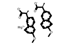 COc1ccc2cc([C@H](C)C(=O)[O-])ccc2c1.COc1ccc2cc([C@H](C)C(=O)[O-])ccc2c1.[Mg+2]